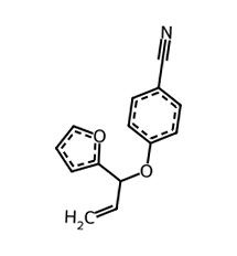 C=CC(Oc1ccc(C#N)cc1)c1ccco1